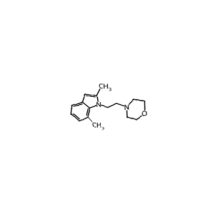 Cc1cccc2cc(C)n(CCN3CCOCC3)c12